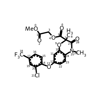 COC(=O)COC(=O)C1(C)Oc2cc(Oc3ccc(C(F)(F)F)cc3Cl)ccc2N(C)C1=O